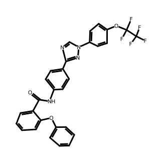 O=C(Nc1ccc(-c2ncn(-c3ccc(OC(F)(F)C(F)(F)F)cc3)n2)cc1)c1ccccc1Oc1ccccc1